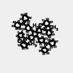 Cc1ccccc1N(c1ccc2c(-c3ccc(N(c4ccccc4)c4ccccc4)cc3)c3c(c(C4=CC=C(N(C5=CCCC=C5)c5ccccc5)CC4)c2c1)=CCC(N(c1ccccc1C)c1ccccc1C)C=3)c1ccccc1C